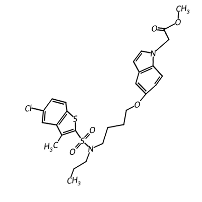 CCCN(CCCCOc1ccc2c(ccn2CC(=O)OC)c1)S(=O)(=O)c1sc2ccc(Cl)cc2c1C